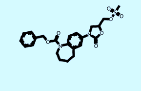 CS(=O)(=O)OCC1CN(c2ccc3c(c2)CCCCN3C(=O)OCc2ccccc2)C(=O)O1